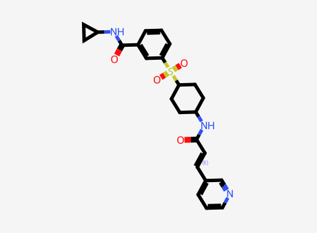 O=C(/C=C/c1cccnc1)NC1CCC(S(=O)(=O)c2cccc(C(=O)NC3CC3)c2)CC1